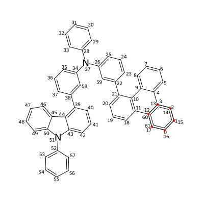 c1ccc(-c2ccccc2-c2c(-c3ccccc3)cccc2-c2cccc(N(c3ccccc3)c3cccc(-c4cccc5c4c4ccccc4n5-c4ccccc4)c3)c2)cc1